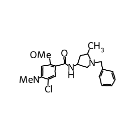 CNc1cc(OC)c(C(=O)NC2CC(C)N(Cc3ccccc3)C2)cc1Cl